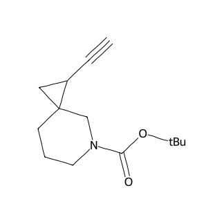 C#CC1CC12CCCN(C(=O)OC(C)(C)C)C2